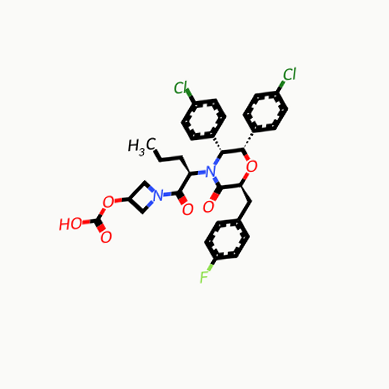 CCC[C@H](C(=O)N1CC(OC(=O)O)C1)N1C(=O)[C@H](Cc2ccc(F)cc2)O[C@@H](c2ccc(Cl)cc2)[C@H]1c1ccc(Cl)cc1